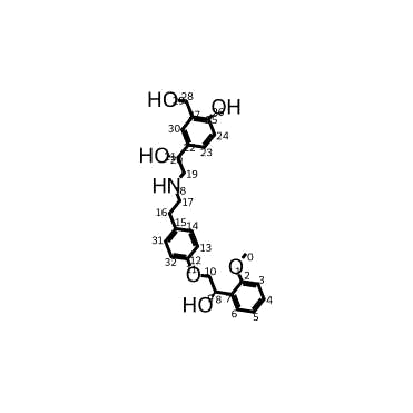 COc1ccccc1[C@@H](O)COc1ccc(CCNC[C@H](O)c2ccc(O)c(CO)c2)cc1